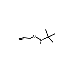 C=CCONC(C)(C)C